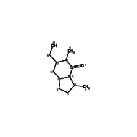 CC1C(=O)N2C(C)CCC2CC1CO